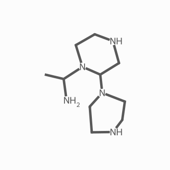 CC(N)N1CCNCC1N1CCNCC1